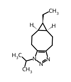 CC[C@H]1[C@H]2CCc3nnn(C(C)C)c3CC[C@@H]12